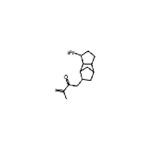 C=C(C)C(=O)CC1CC2CC1C1C(CCC)CCC21